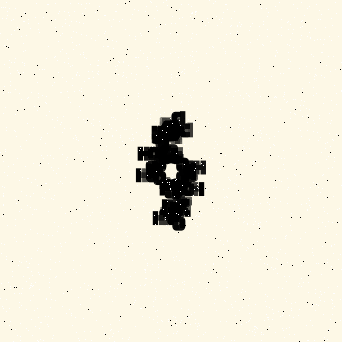 O=c1[nH]cnc2c1ncn2[C@@H]1O[C@@H]2COP(=O)(O)OC3C(O)[C@H](n4cnc5cc(Cl)c(Cl)cc54)O[C@@H]3COP(=O)(O)OC2C1O